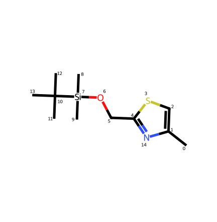 Cc1csc(CO[Si](C)(C)C(C)(C)C)n1